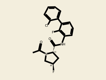 CC(=O)N1C[C@H](F)C[C@H]1C(=O)Nc1cccc(-c2ccccc2Cl)c1F